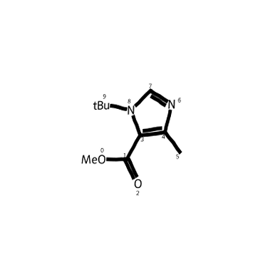 COC(=O)c1c(C)ncn1C(C)(C)C